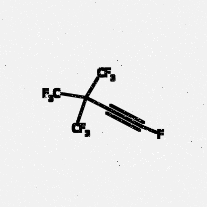 FC#CC(C(F)(F)F)(C(F)(F)F)C(F)(F)F